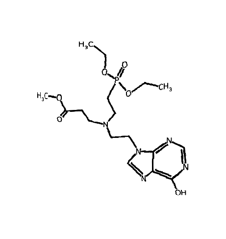 CCOP(=O)(CCN(CCC(=O)OC)CCn1cnc2c(O)ncnc21)OCC